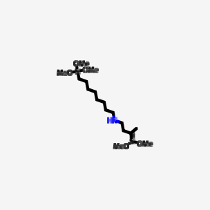 CO[SiH](OC)C(C)CCNCCCCCCCC[Si](OC)(OC)OC